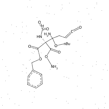 CCCCOC(N)(CC=C=O)[C@@](N[SH](=O)=O)(C(=O)ON)C(=O)OCc1ccccc1